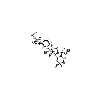 CCOC(CC)(C1CCC(F)(F)CC1)N1C[C@@H]2[C@H](C1)[C@@]2(CC)c1cccc(NS(=O)(=O)C2CC2)c1